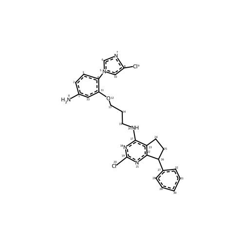 Nc1ccc(-n2cnc(Cl)c2)c(OCCCNc2nc(Cl)nc3c2CCC3c2ccccc2)c1